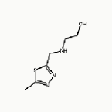 Cc1nnc(CNCCO)s1